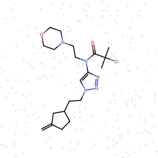 C=C1CCC(CCn2cc(N(CCN3CCOCC3)C(=O)C(C)(C)Cl)nn2)C1